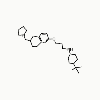 CC(C)(C)C1CCC(NCCCOc2ccc3c(c2)CCC(CN2CCCC2)C3)CC1